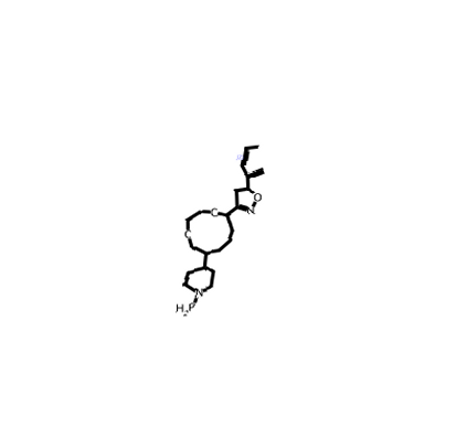 C=C(/C=C\C)C1CC(C2CCCCCC(C3CCN(P)CC3)CCC2)=NO1